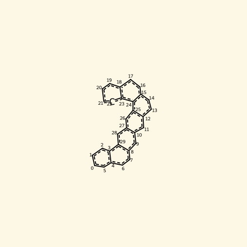 c1ccc2c(c1)ccc1cc3cc4ccc5ccc6ccccc6c5c4cc3cc12